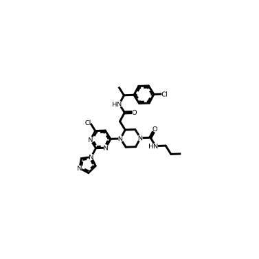 CCCNC(=O)N1CCN(c2cc(Cl)nc(-n3ccnc3)n2)C(CC(=O)NC(C)c2ccc(Cl)cc2)C1